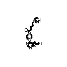 CCc1cc2c(N3CCN(C(=O)CCCCn4ccnn4)CC3)ncnc2s1